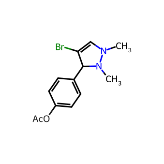 CC(=O)Oc1ccc(C2C(Br)=CN(C)N2C)cc1